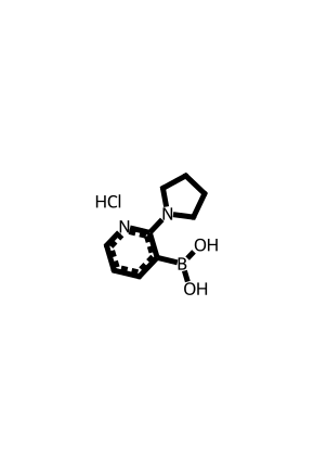 Cl.OB(O)c1cccnc1N1CCCC1